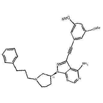 COc1cc(C#Cc2nn([C@H]3CCN(CCCc4ccccc4)C3)c3ncnc(N)c23)cc(OC)c1